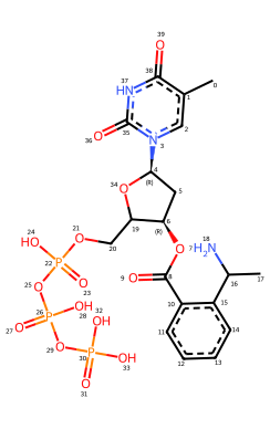 Cc1cn([C@H]2C[C@@H](OC(=O)c3ccccc3C(C)N)C(COP(=O)(O)OP(=O)(O)OP(=O)(O)O)O2)c(=O)[nH]c1=O